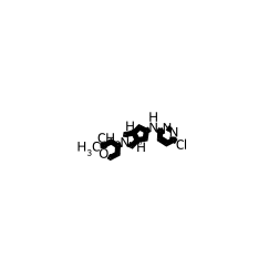 CC1(C)CC(N2C[C@H]3CC(Nc4ccc(Cl)nn4)C[C@H]3C2)CCO1